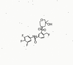 CC1(O)COCCN(S(=O)(=O)c2cc(C(=O)Nc3cc(F)c(F)c(F)c3)ccc2CF)C1